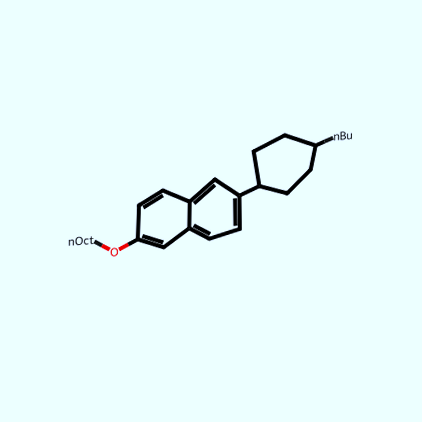 CCCCCCCCOc1ccc2cc(C3CCC(CCCC)CC3)ccc2c1